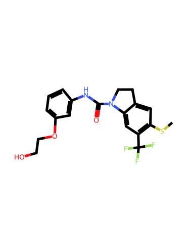 CSc1cc2c(cc1C(F)(F)F)N(C(=O)Nc1cccc(OCCO)c1)CC2